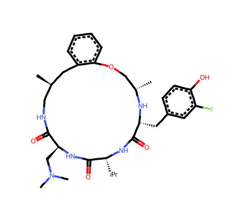 CC(C)[C@H]1NC(=O)[C@@H](Cc2ccc(O)c(F)c2)N[C@@H](C)COc2ccccc2C[C@H](C)CNC(=O)[C@H](CN(C)C)NC1=O